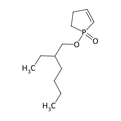 CCCCC(CC)COP1(=O)C=CCC1